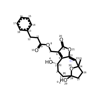 C[C@@H]1C[C@H](O)C2=C(COC(=O)CCc3ccccc3)C(=O)O/C2=C/C2(C)CCC1(O)O2